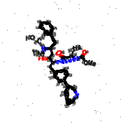 COC(=O)N[C@H](C(=O)N[C@@H](Cc1ccc(-c2cccnc2)cc1)[C@@H](O)C[C@H](Cc1ccccc1)N(C(=O)O)C(C)(C)C)C(C)(C)C